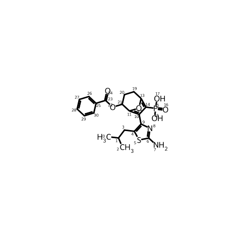 CC(C)Cc1sc(N)nc1-c1c2oc(c1P(=O)(O)O)CCC2OC(=O)c1ccccc1